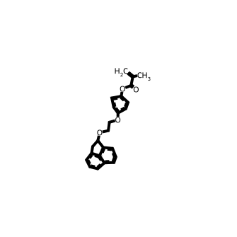 C=C(C)C(=O)Oc1ccc(OCCOC2Cc3cccc4cccc2c34)cc1